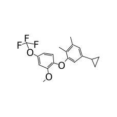 COc1cc(OC(F)(F)F)ccc1Oc1cc(C2CC2)cc(C)c1C